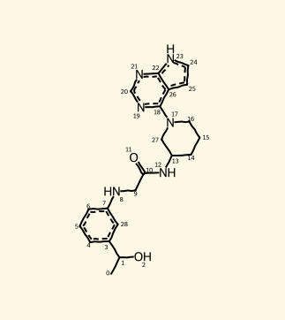 CC(O)c1cccc(NCC(=O)NC2CCCN(c3ncnc4[nH]ccc34)C2)c1